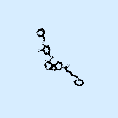 O=C(/C=C/CCN1CCCCC1)N1CCc2c(sc3ncnc(Nc4ccc(OCc5cccnc5)c(Cl)c4)c23)C1